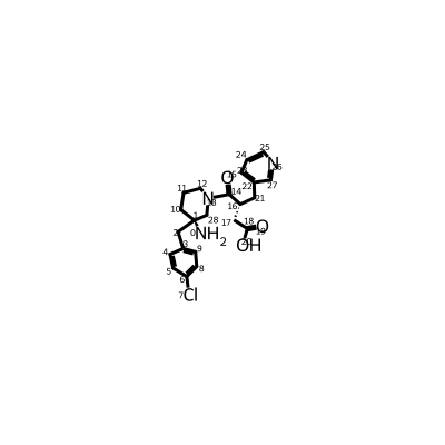 N[C@@]1(Cc2ccc(Cl)cc2)CCCN(C(=O)[C@@H](CC(=O)O)Cc2cccnc2)C1